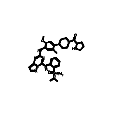 COc1cc(C2CCN(C(=O)C3CCCN3)CC2)c(C)cc1Nc1nc(Nc2ccccc2[SH](=O)(P)C(C)C)n2nccc2n1